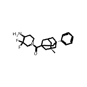 C[C@]12CC3CC(C(=O)N4CCC(N)C(F)(F)C4)(C1)C[C@@](c1ccccc1)(C3)C2